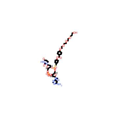 Nc1ncnc2c1ncn2[C@H]1C[C@@H]2OP(=O)(O)OC[C@H]3O[C@@H](n4ccc(=O)[nH]c4=O)C[C@@H]3OP(=O)(SCc3ccc(OC(=O)c4ccc(OCCOCCOCCOCCCO)cc4)cc3)OC[C@H]2O1